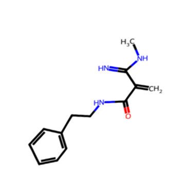 C=C(C(=N)NC)C(=O)NCCc1ccccc1